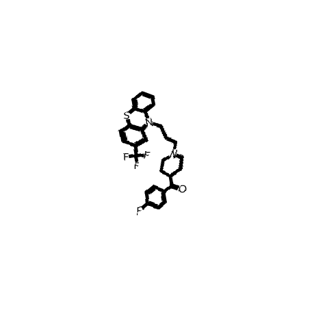 O=C(c1ccc(F)cc1)C1CCN(CCCN2c3ccccc3Sc3ccc(C(F)(F)F)cc32)CC1